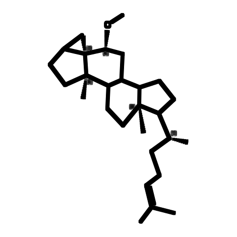 CO[C@@H]1CC2C3CCC([C@H](C)CCC=C(C)C)[C@@]3(C)CCC2[C@@]2(C)CCC3C[C@]312